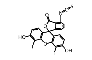 O=C1OC2(c3ccc(O)c(I)c3Oc3c2ccc(O)c3I)c2cccc(N=C=S)c21